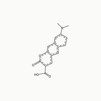 CN(C)c1ccc2cc3cc(C(=O)O)c(=O)oc3cc2c1